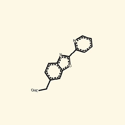 O=CCc1ccc2nc(-c3ccccn3)oc2c1